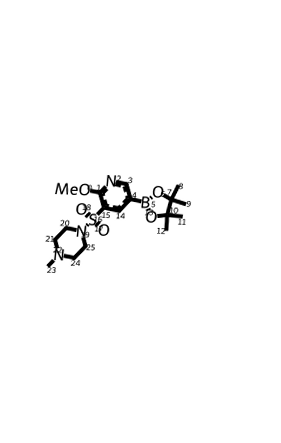 COc1ncc(B2OC(C)(C)C(C)(C)O2)cc1S(=O)(=O)N1CCN(C)CC1